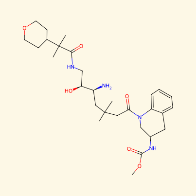 COC(=O)NC1Cc2ccccc2N(C(=O)CC(C)(C)C[C@H](N)[C@@H](O)CNC(=O)C(C)(C)C2CCOCC2)C1